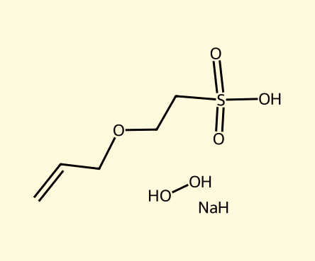 C=CCOCCS(=O)(=O)O.OO.[NaH]